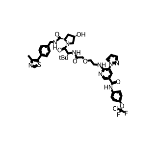 Cc1ncsc1-c1ccc(CNC(=O)[C@H]2C[C@H](O)CN2C(=O)[C@H](NC(=O)COCCNc2ncc(C(=O)Nc3ccc(OC(F)(F)Cl)cc3)cc2-n2cccn2)C(C)(C)C)cc1